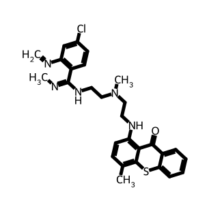 C=Nc1cc(Cl)ccc1/C(=N\C)NCCN(C)CCNc1ccc(C)c2sc3ccccc3c(=O)c12